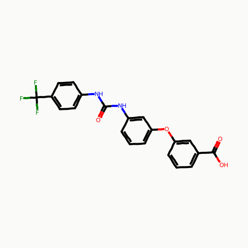 O=C(Nc1ccc(C(F)(F)F)cc1)Nc1cccc(Oc2cccc(C(=O)O)c2)c1